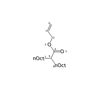 C=CCOC(=O)C(CCCCCCCC)CCCCCCCC